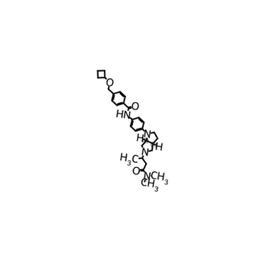 CC(CC(=O)N(C)C)N1C[C@H]2CCN(c3ccc(NC(=O)c4ccc(COC5CCC5)cc4)cc3)[C@H]2C1